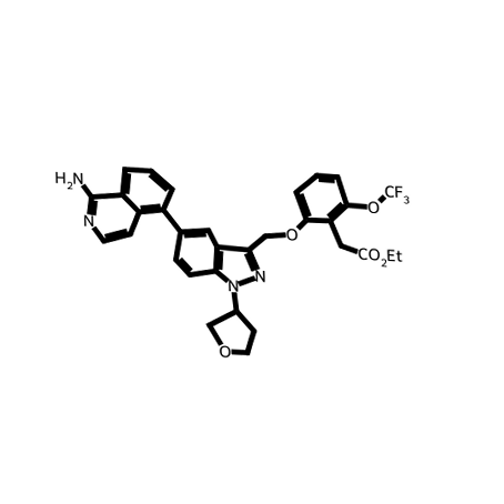 CCOC(=O)Cc1c(OCc2nn(C3CCOC3)c3ccc(-c4cccc5c(N)nccc45)cc23)cccc1OC(F)(F)F